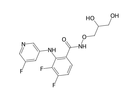 O=C(NOCC(O)CO)c1ccc(F)c(F)c1Nc1cncc(F)c1